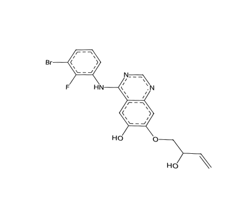 C=CC(O)COc1cc2ncnc(Nc3cccc(Br)c3F)c2cc1O